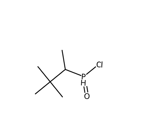 CC([PH](=O)Cl)C(C)(C)C